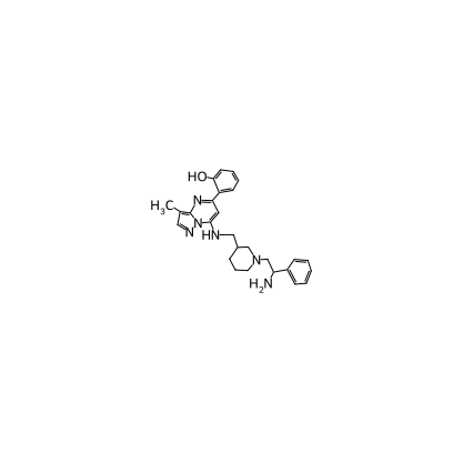 Cc1cnn2c(NCC3CCCN(CC(N)c4ccccc4)C3)cc(-c3ccccc3O)nc12